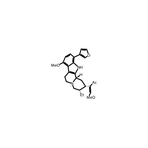 CC[C@@H]1CN2CCc3c([nH]c4c(-c5ccoc5)ccc(OC)c34)[C@@H]2C[C@@H]1/C(=C\OC)C(C)=O